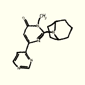 Cn1c(N2C3CCCC2CC3)nc(-c2ccncn2)cc1=O